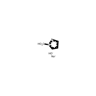 O=C(O)n1cccn1.[Na+].[OH-]